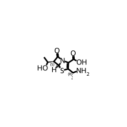 CC(O)[C@H]1C(=O)N2C(C(=O)O)=C([C@@H](C)N)S[C@H]12